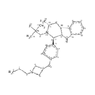 CCCN1CC(Oc2ccc([C@@H]3C4Nc5ccccc5C4C[C@@H](C)N3CC(C)(C)F)cc2)C1